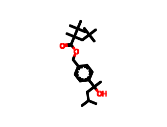 CC(C)CC(C)(O)c1ccc(COC(=O)C(C)(CC(C)(C)C)C(C)(C)C)cc1